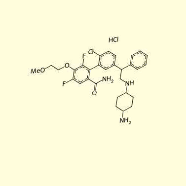 COCCOc1c(F)cc(C(N)=O)c(-c2cc(C(CNC3CCC(N)CC3)c3ccccc3)ccc2Cl)c1F.Cl